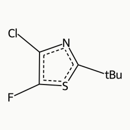 CC(C)(C)c1nc(Cl)c(F)s1